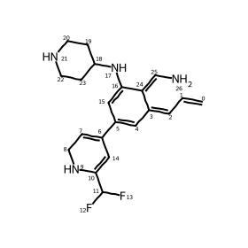 C=C/C=c1/cc(C2=CCNC(C(F)F)=C2)cc(NC2CCNCC2)/c1=C/N